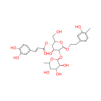 Cc1ccc(CCO[C@@H]2OC(CO)[C@@H](OC(=O)/C=C/c3ccc(O)c(O)c3)[C@H](O)C2O[C@@H]2OC(C)[C@@H](O)C(O)[C@@H]2O)cc1O